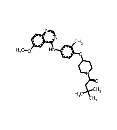 COc1ccc2ncnc(Nc3ccc(OC4CCN(C(=O)CC(C)(C)C)CC4)c(C)c3)c2c1